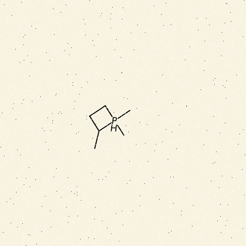 CC1CC[PH]1(C)C